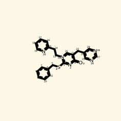 O=c1nc(SCc2ccccc2)n(CCc2ccccn2)cc1Cc1cncnc1